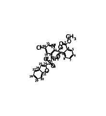 COC(=O)c1ccccc1S(=O)(=O)c1ncc(Cl)cc1NS(=O)(=O)c1cc2ccccc2o1